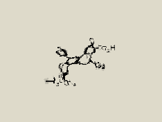 CC1(C)Cc2c3c(cc(-c4ccsc4)c2O1)-c1cc(=O)c(C(=O)O)cn1C(C(C)(C)C)C3